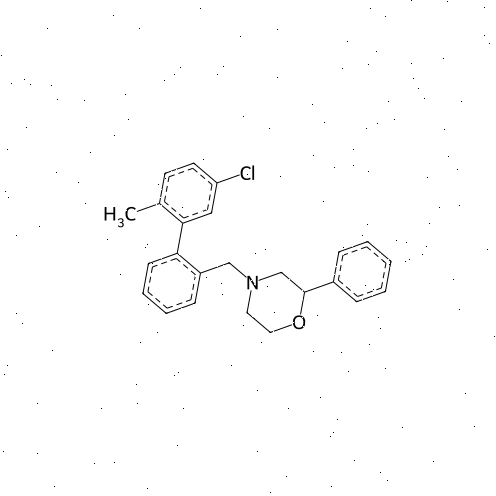 Cc1ccc(Cl)cc1-c1ccccc1CN1CCOC(c2ccccc2)C1